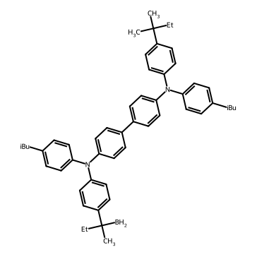 BC(C)(CC)c1ccc(N(c2ccc(-c3ccc(N(c4ccc(C(C)CC)cc4)c4ccc(C(C)(C)CC)cc4)cc3)cc2)c2ccc(C(C)CC)cc2)cc1